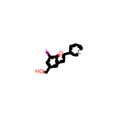 OCc1cc(I)c2oc(-c3ccccc3)cc2c1